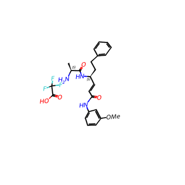 COc1cccc(NC(=O)C=C[C@H](CCc2ccccc2)NC(=O)[C@H](C)N)c1.O=C(O)C(F)(F)F